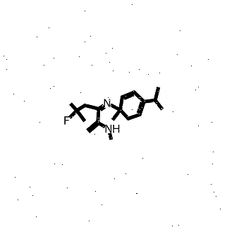 C=C(NC)/C(CC(C)(C)F)=N\C1(C)C=CC(C(C)C)=CC1